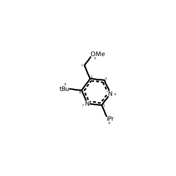 COCc1cnc(C(C)C)nc1C(C)(C)C